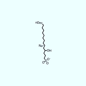 CCCCCCCCCCCCCCCCCCCCC(O)CCCS(=O)(=O)[O-].[Na+]